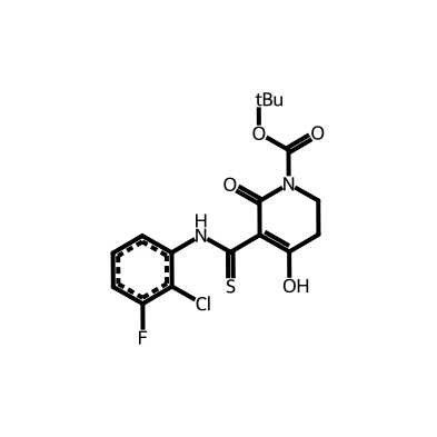 CC(C)(C)OC(=O)N1CCC(O)=C(C(=S)Nc2cccc(F)c2Cl)C1=O